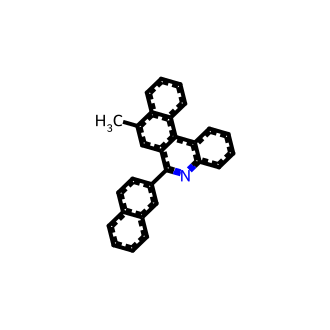 Cc1cc2c(-c3ccc4ccccc4c3)nc3ccccc3c2c2ccccc12